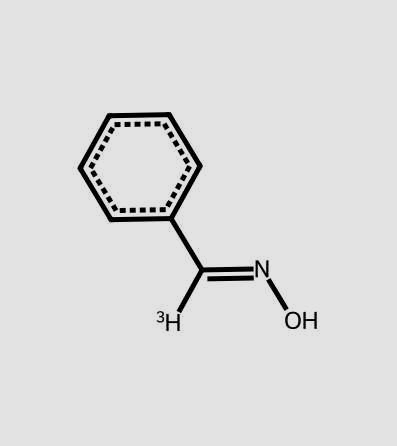 [3H]C(=NO)c1ccccc1